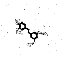 O=[N+]([O-])Oc1cc(CCc2ccc(O[N+](=O)[O-])c(O[N+](=O)[O-])c2)cc(O[N+](=O)[O-])c1